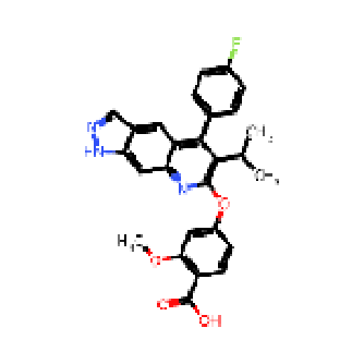 COc1cc(Oc2nc3cc4[nH]ncc4cc3c(-c3ccc(F)cc3)c2C(C)C)ccc1C(=O)O